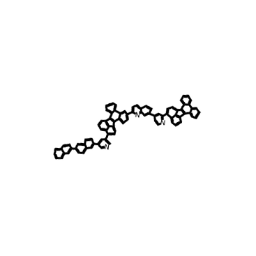 c1ccc2cc(-c3ccc4cc(-c5cncc(-c6ccc7c8c(cccc68)-c6c-7c7ccc(-c8ccc9ccc(-c%10ccnc(-c%11ccc%12c%13c(cccc%11%13)-c%11c-%12c%12ccccc%12c%12ccccc%11%12)c%10)cc9n8)cc7c7ccccc67)c5)ccc4c3)ccc2c1